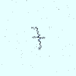 CCCC(=N\CCOCC)/C(CCC)=N/COCCN